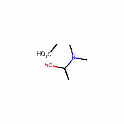 CC(O)N(C)C.CS(=O)(=O)O